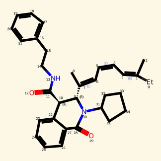 CC/C(C)=C/C=C\C=C(/C)[C@H]1[C@H](C(=O)NCCc2ccccc2)c2ccccc2C(=O)N1C1CCCC1